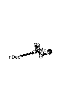 CCCCCCCCCCCCCCCCCCOCC(CCS(=O)(=O)CCC[n+]1ccccc1)OC.CS(=O)(=O)[O-]